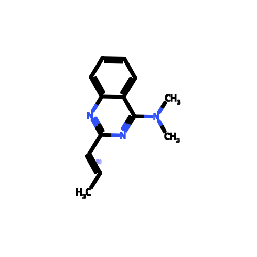 C/C=C/c1nc(N(C)C)c2ccccc2n1